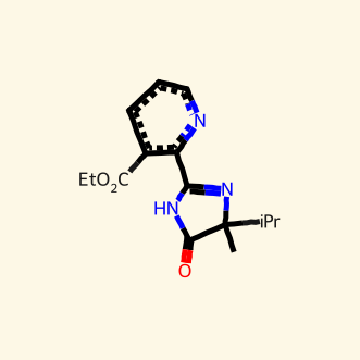 CCOC(=O)c1cccnc1C1=NC(C)(C(C)C)C(=O)N1